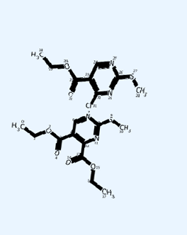 CCOC(=O)c1cnc(SC)nc1C(=O)OCC.CCOC(=O)c1cnc(SC)nc1Cl